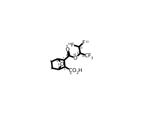 O=C(O)C1C2CCC(O2)C1C(=O)OC(C(F)F)C(F)(F)F